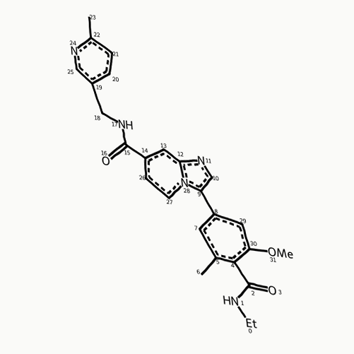 CCNC(=O)c1c(C)cc(-c2cnc3cc(C(=O)NCc4ccc(C)nc4)ccn23)cc1OC